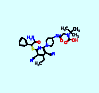 CCc1c(C#N)c(SC(C(N)=O)c2ccccc2)nc(N2CCC(NC(=O)CN(C(=O)O)C(C)(C)C)CC2)c1C#N